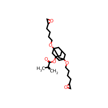 C=C(C)C(=O)OC12CC3CC(OCCCCC4CO4)(CC(OCCCCC4CO4)(C3)C1)C2